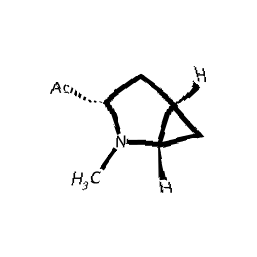 CC(=O)[C@@H]1C[C@@H]2C[C@@H]2N1C